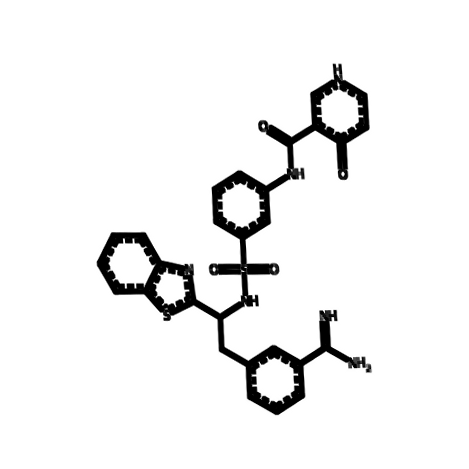 N=C(N)c1cccc(CC(NS(=O)(=O)c2cccc(NC(=O)c3c[nH]ccc3=O)c2)c2nc3ccccc3s2)c1